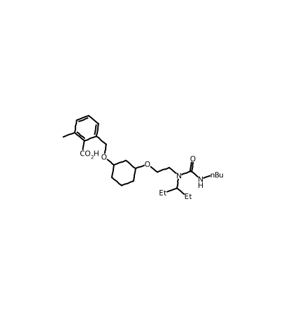 CCCCNC(=O)N(CCOC1CCCC(OCc2cccc(C)c2C(=O)O)C1)C(CC)CC